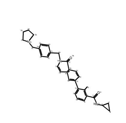 Cc1c(C(=O)NC2CC2)cccc1-c1ccc2c(=O)n(Cc3ccc(CN4CCCC4)cc3)ccc2c1